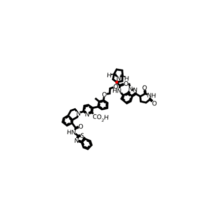 Cc1c(OCCO[C@H]2C[C@H]3CC[C@@H](C2)N3CC(=O)Nc2cccc3c(C4CCC(=O)NC4=O)nn(C)c23)cccc1-c1ccc(N2CCc3cccc(C(=O)Nc4nc5ccccc5s4)c3C2)nc1C(=O)O